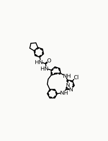 O=C(Nc1ccc2c(c1)CCC2)Nc1ccc2cc1CCc1cccc(c1)Nc1ncc(Cl)c(n1)N2